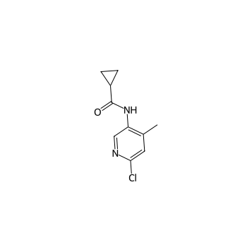 Cc1cc(Cl)ncc1NC(=O)C1CC1